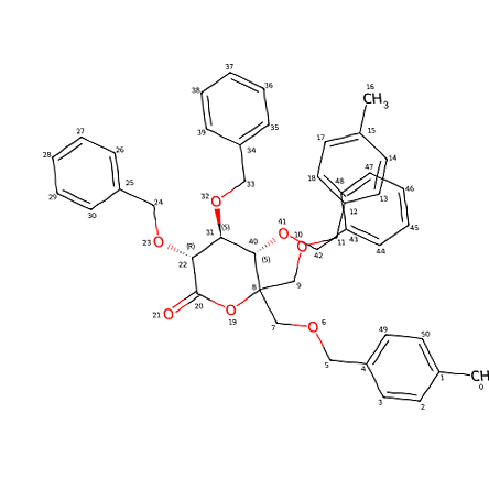 Cc1ccc(COCC2(COCc3ccc(C)cc3)OC(=O)[C@H](OCc3ccccc3)[C@@H](OCc3ccccc3)[C@@H]2OCc2ccccc2)cc1